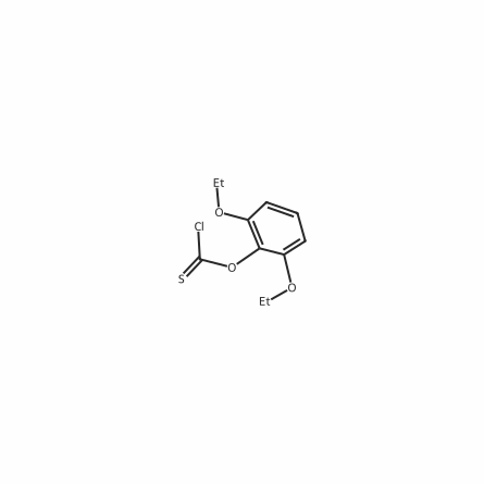 CCOc1cccc(OCC)c1OC(=S)Cl